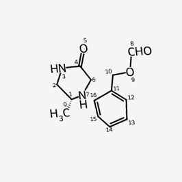 C[C@@H]1CNC(=O)CN1.O=COCc1ccccc1